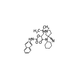 CC(C)CC(OC(=O)Nc1ccc2ccccc2c1)C(=O)N(C1CCCCC1)C1(C#N)CCNC1